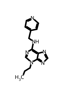 CCCn1cnc(NCc2ccncc2)c2ncnc1-2